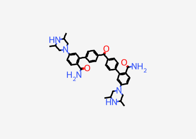 CC1CN(c2ccc(C(N)=O)c(-c3ccc(C(=O)c4ccc(-c5cc(N6CC(C)NC(C)C6)ccc5C(N)=O)cc4)cc3)c2)CC(C)N1